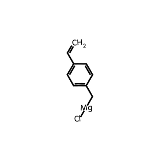 C=Cc1ccc([CH2][Mg][Cl])cc1